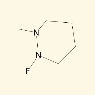 CN1CCCCN1F